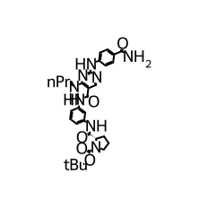 CCCNc1nc(Nc2ccc(C(N)=O)cc2)ncc1C(=O)Nc1cccc(NC(=O)[C@@H]2CCCN2C(=O)OC(C)(C)C)c1